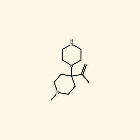 C=C(C)C1(N2CCNCC2)CCN(C)CC1